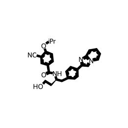 CC(C)Oc1ccc(C(=O)N[C@H](CCO)Cc2ccc(-c3cn4ccccc4n3)cc2)cc1C#N